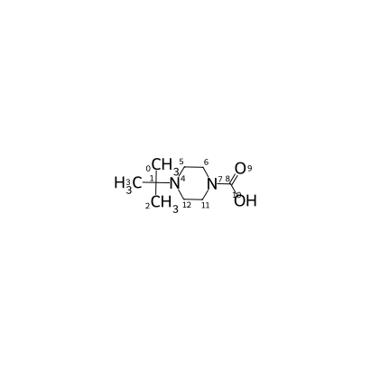 CC(C)(C)N1CCN(C(=O)O)CC1